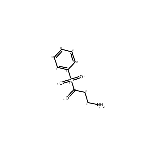 NCCC(=O)S(=O)(=O)c1ccccc1